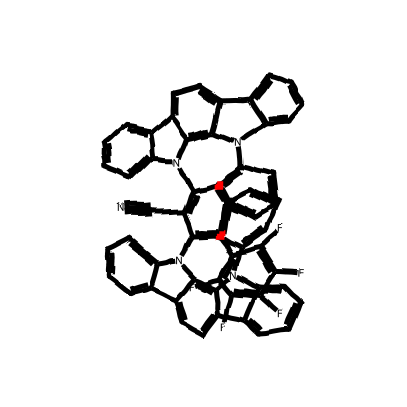 N#Cc1c(-n2c3ccccc3c3ccc4c5ccccc5n(-c5ccccc5)c4c32)ccc(-c2c(F)c(F)c(F)c(F)c2F)c1-n1c2ccccc2c2ccc3c4ccccc4n(-c4ccccc4)c3c21